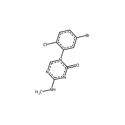 CNc1ncn(-c2cc(Br)ccc2Cl)c(=O)n1